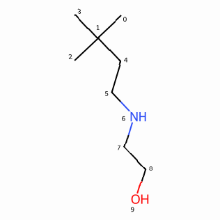 CC(C)(C)CCNCCO